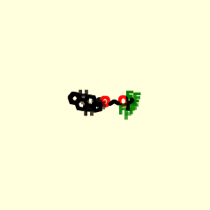 C[C@]12CC[C@@H]3c4ccccc4CC[C@H]3[C@@H]1CC[C@@H]2OCCCOC(C(F)(F)F)C(F)(F)F